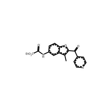 CCOC(=O)C(=O)Nc1ccc2oc(C(=O)c3ccncc3)c(C)c2c1